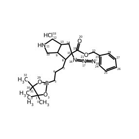 CC1(C)OB(CCCC2C3CNCC3CC2(N=[N+]=[N-])C(=O)OCc2ccccc2)OC1(C)C.Cl